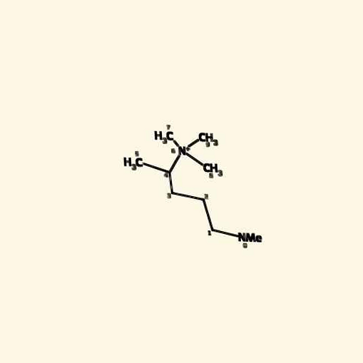 CNCCCC(C)[N+](C)(C)C